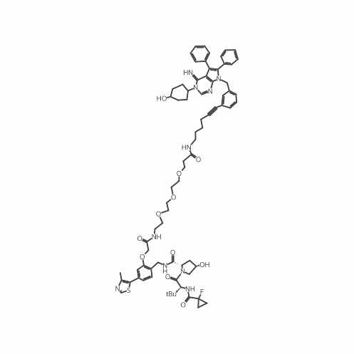 Cc1ncsc1-c1ccc(CNC(=O)[C@@H]2C[C@@H](O)CN2C(=O)[C@@H](NC(=O)C2(F)CC2)C(C)(C)C)c(OCC(=O)NCCOCCOCCOCCC(=O)NCCCCC#Cc2cccc(Cn3c(-c4ccccc4)c(-c4ccccc4)c4c(=N)n(C5CCC(O)CC5)cnc43)c2)c1